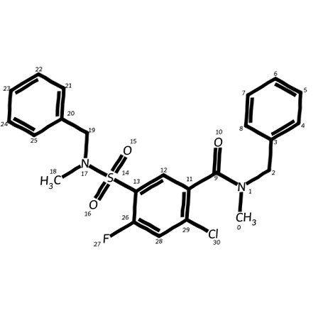 CN(Cc1ccccc1)C(=O)c1cc(S(=O)(=O)N(C)Cc2ccccc2)c(F)cc1Cl